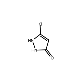 O=c1cc(Cl)[nH][nH]1